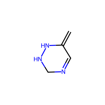 C=C1C=NCNN1